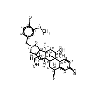 COc1cc(CN2C[C@@H]3C[C@H]4[C@@H]5C[C@H](F)C6=CC(=O)C=C[C@]6(C)[C@@]5(F)[C@@H](O)C[C@]4(C)[C@]3(C(=O)CO)O2)ccc1F